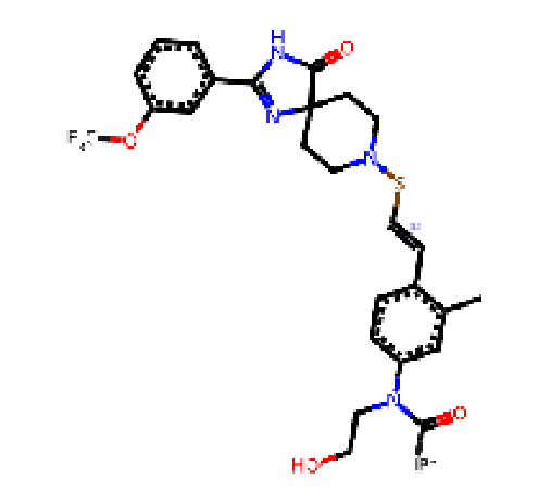 Cc1cc(N(CCO)C(=O)C(C)C)ccc1/C=C/SN1CCC2(CC1)N=C(c1cccc(OC(F)(F)F)c1)NC2=O